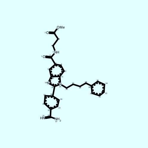 COC(=O)CCNC(=O)c1ccc2c(c1)nc(-c1ccc(C(=N)N)cc1)n2CCCCc1ccccc1